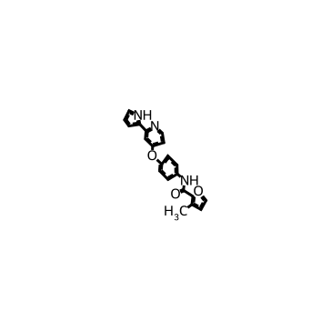 Cc1ccoc1C(=O)Nc1ccc(Oc2ccnc(-c3ccc[nH]3)c2)cc1